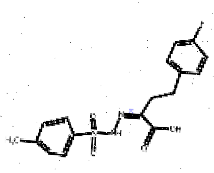 Cc1ccc(S(=O)(=O)N/N=C(/CCc2ccc(F)cc2)C(=O)O)cc1